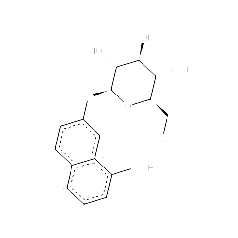 O=S(=O)(O)c1cccc2ccc(O[C@@H]3O[C@H](CO)[C@@H](O)[C@H](O)[C@H]3O)cc12